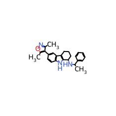 Cc1noc(C)c1-c1ccc2[nH]c3c(c2c1)CCCC3NC(C)c1ccccc1